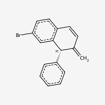 C=C1C=Cc2ccc(Br)cc2[C@H]1c1ccccc1